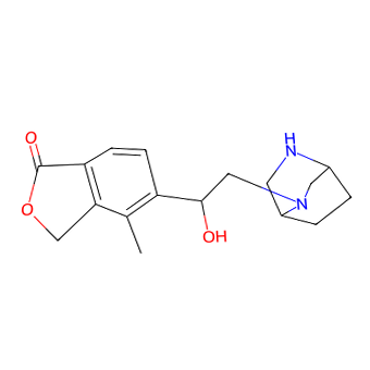 Cc1c(C(O)CN2CC3CCC2CN3)ccc2c1COC2=O